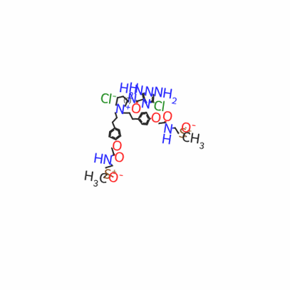 C[S+]([O-])CCNC(=O)COc1ccc(CCC[N+]2(CCCc3ccc(OCC(=O)NCC[S+](C)[O-])cc3)CCC[C@H](NC(=O)c3nc(Cl)c(N)nc3N)C2)cc1.[Cl-]